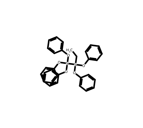 CC[Si](Oc1ccccc1)(Oc1ccccc1)[Si](Oc1ccccc1)(Oc1ccccc1)Oc1ccccc1